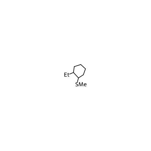 CCC1CCCCC1SC